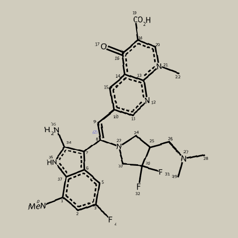 CNc1cc(F)cc2c(/C(=C/c3cnc4c(c3)c(=O)c(C(=O)O)cn4C)N3CC(CN(C)C)C(F)(F)C3)c(N)[nH]c12